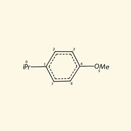 [CH2]C(C)c1ccc(OC)cc1